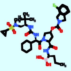 CCC[C@H](NC(=O)[C@@H]1C[C@@H](OC(=O)N2Cc3cccc(F)c3C2)CN1C(=O)[C@@H](NC(=O)N[C@H](CN(C)S(=O)(=O)C1CC1)C(C)(C)C)C1CCCCC1)B(O)O